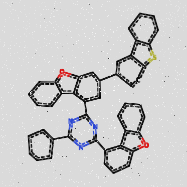 c1ccc(-c2nc(-c3cccc4oc5ccccc5c34)nc(-c3cc(-c4ccc5sc6ccccc6c5c4)cc4oc5ccccc5c34)n2)cc1